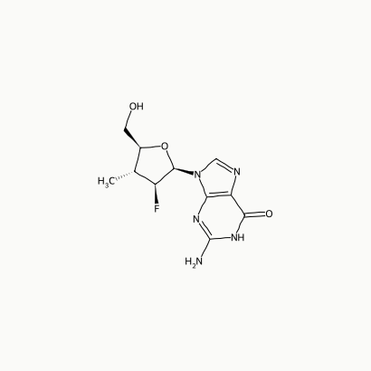 C[C@H]1[C@H](F)[C@H](n2cnc3c(=O)[nH]c(N)nc32)O[C@@H]1CO